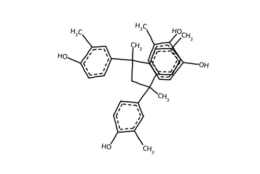 Cc1cc(C(C)(CC(C)(c2ccc(O)c(C)c2)c2ccc(O)c(C)c2)c2ccc(O)c(C)c2)ccc1O